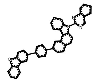 c1ccc2nc(-n3c4ccccc4c4c5cc(-c6ccc(-c7ccc8oc9ccccc9c8c7)cc6)ccc5ccc43)ncc2c1